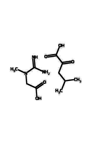 CC(C)CC(=O)C(=O)O.CN(CC(=O)O)C(=N)N